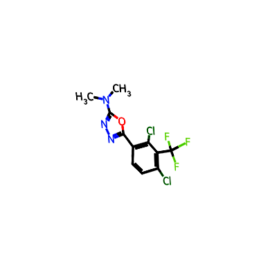 CN(C)c1nnc(-c2ccc(Cl)c(C(F)(F)F)c2Cl)o1